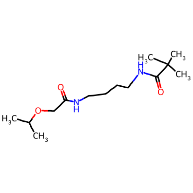 CC(C)OCC(=O)NCCCCNC(=O)C(C)(C)C